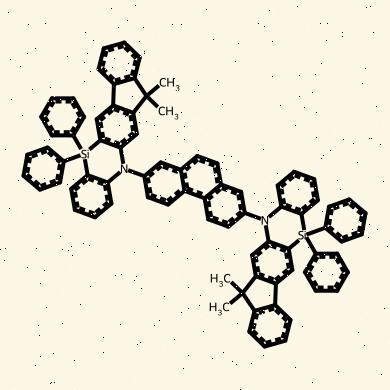 CC1(C)c2ccccc2-c2cc3c(cc21)N(c1ccc2c(ccc4cc(N5c6ccccc6[Si](c6ccccc6)(c6ccccc6)c6cc7c(cc65)C(C)(C)c5ccccc5-7)ccc42)c1)c1ccccc1[Si]3(c1ccccc1)c1ccccc1